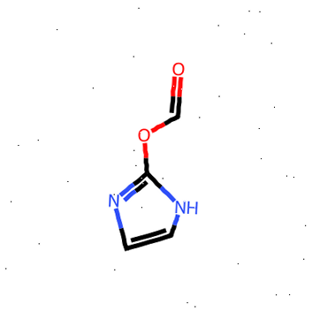 O=COc1ncc[nH]1